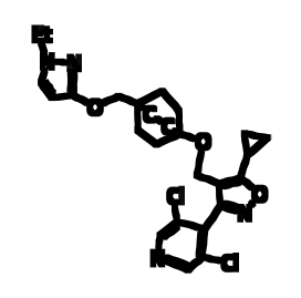 CCn1ccc(OCC23CCC(OCc4c(-c5c(Cl)cncc5Cl)noc4C4CC4)(CC2)CC3)n1